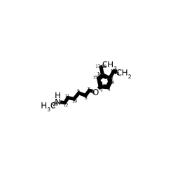 C=Cc1ccc(OCCCCCCNC)cc1CC